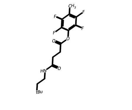 Cc1c(F)c(F)c(OC(=O)CCC(=O)NCCC(C)(C)C)c(F)c1F